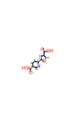 O=C(O)c1ccc(-c2nc(C(=O)O)co2)nc1